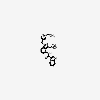 CCc1nn(Cc2cnn(CC)c2)c2cccc(NC(=O)c3cnc4ccccn34)c12.Cl.Cl